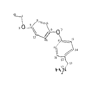 CCOc1ccc(Oc2ccc(CN)cc2)cc1